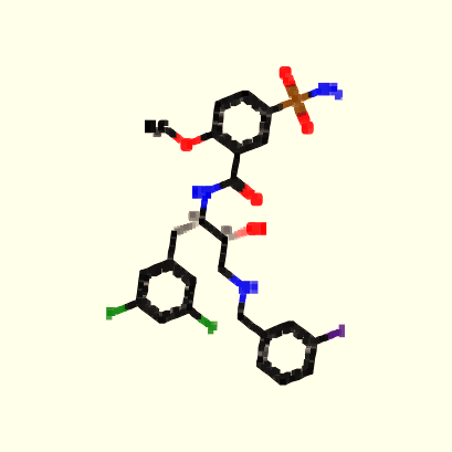 COc1ccc(S(N)(=O)=O)cc1C(=O)N[C@@H](Cc1cc(F)cc(F)c1)[C@H](O)CNCc1cccc(I)c1